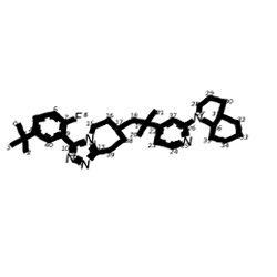 CC(C)(C)c1ccc(F)c(-c2nnc3n2CCC(CC(C)(C)c2ccnc(N4CCCC5CCCCC54)c2)CC3)c1